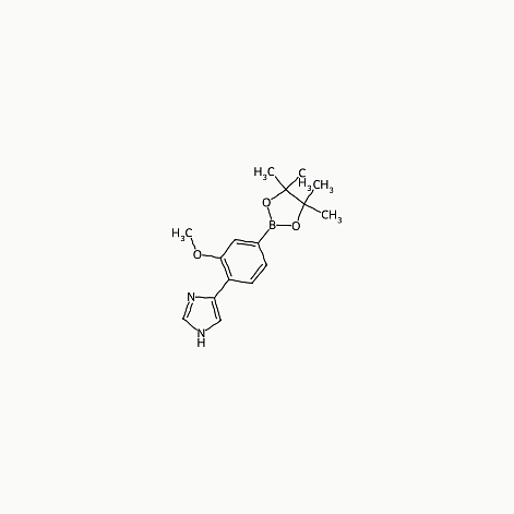 COc1cc(B2OC(C)(C)C(C)(C)O2)ccc1-c1c[nH]cn1